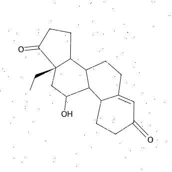 CC[C@]12CC(O)C3C4CCC(=O)C=C4CCC3C1CCC2=O